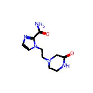 NC(=O)c1n[c]cn1CCN1CCNC(=O)C1